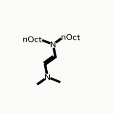 CCCCCCCCN(/C=C/N(C)C)CCCCCCCC